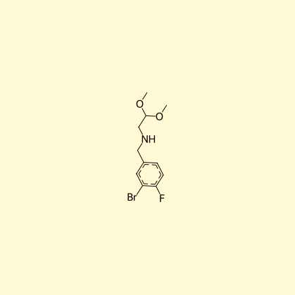 COC(CNCc1ccc(F)c(Br)c1)OC